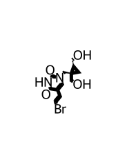 O=c1[nH]c(=O)n(C[C@]2(CO)C[C@H]2CO)cc1/C=C/Br